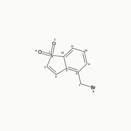 O=S1(=O)C=Cc2c(CBr)cccc21